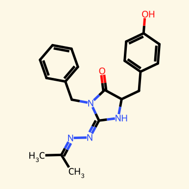 CC(C)=N/N=C1/NC(Cc2ccc(O)cc2)C(=O)N1Cc1ccccc1